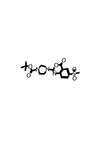 CC(C)(C)OC(=O)N1CCN(c2nc3ccc(S(C)(=O)=O)cc3c(=O)o2)CC1